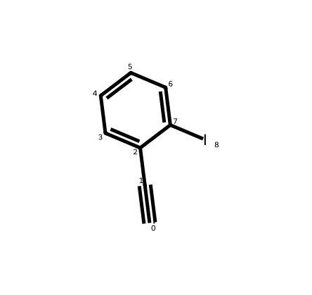 [C]#Cc1ccccc1I